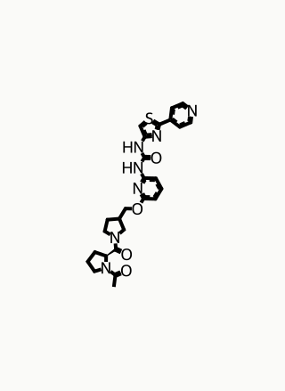 CC(=O)N1CCC[C@H]1C(=O)N1CCC(COc2cccc(NC(=O)Nc3csc(-c4ccncc4)n3)n2)C1